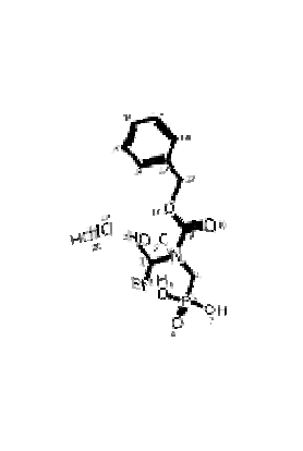 CCC(C(=O)O)N(CP(=O)(O)O)C(=O)OCc1ccccc1.Cl.Cl